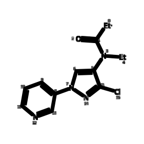 C[CH]C(=O)N(CC)c1cn(-c2cccnc2)nc1Cl